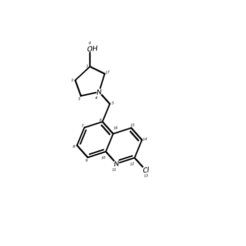 OC1CCN(Cc2cccc3nc(Cl)ccc23)C1